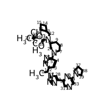 CC(c1ccc(N2CCC[C@@H](N(CC3CCC3)C(=O)OC(C)(C)C)C2)nn1)n1cc(-c2cncc(N3CCCC3)n2)nn1